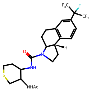 CC(=O)NC1CSCCC1NC(=O)N1CC[C@H]2c3ccc(C(F)(C(F)(F)F)C(F)(F)F)cc3CCC21